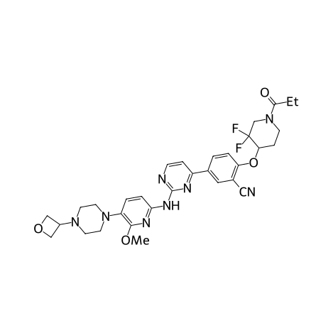 CCC(=O)N1CCC(Oc2ccc(-c3ccnc(Nc4ccc(N5CCN(C6COC6)CC5)c(OC)n4)n3)cc2C#N)C(F)(F)C1